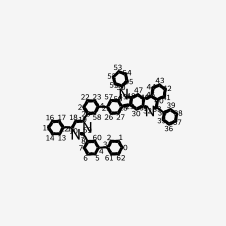 c1ccc(-c2cccc(-c3nc(-c4ccccc4)cc(-c4cccc(-c5ccc6c7cc8nc(-c9ccccc9)c9ccccc9c8cc7n(-c7ccccc7)c6c5)c4)n3)c2)cc1